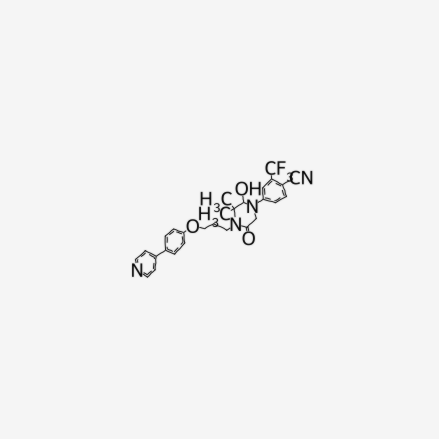 CC1(C)C(O)N(c2ccc(C#N)c(C(F)(F)F)c2)CC(=O)N1CCCOc1ccc(-c2ccncc2)cc1